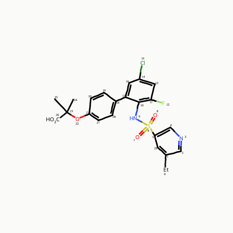 CCc1cncc(S(=O)(=O)Nc2c(F)cc(Cl)cc2-c2ccc(OC(C)(C)C(=O)O)cc2)c1